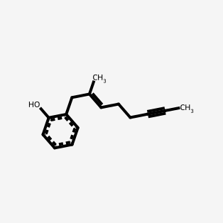 CC#CCCC=C(C)Cc1ccccc1O